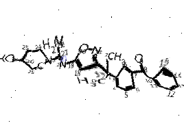 CC(C)(c1cccc(C(=O)c2ccccc2)c1)c1cc(/N=C(\N)N2CCC(O)CC2)on1